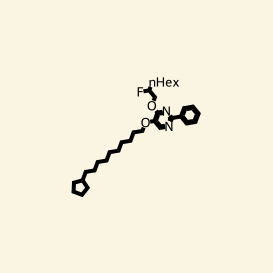 CCCCCCC(F)COc1nc(-c2ccccc2)ncc1OCCCCCCCCCCC1CCCC1